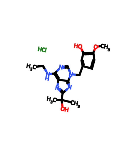 CCNc1ncn(Cc2ccc(OC)c(O)c2)c2nc(C(C)(C)O)nc1-2.Cl